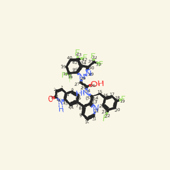 O=c1ccc2ccc(-c3cccnc3[C@H](Cc3cc(F)cc(F)c3)NC(O)Cn3nc(C(F)F)c4c3C(F)(F)CCC4(F)F)cc2[nH]1